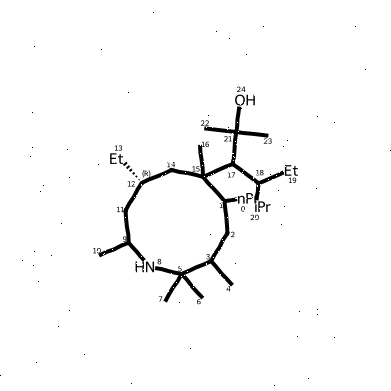 CCCC1CC(C)C(C)(C)NC(C)C[C@H](CC)CC1(C)C(C(CC)C(C)C)C(C)(C)O